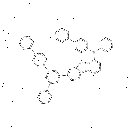 c1ccc(-c2ccc(-c3nc(-c4ccccc4)cc(-c4ccc5c(c4)oc4c(N(c6ccccc6)c6ccc(-c7ccccc7)cc6)cccc45)n3)cc2)cc1